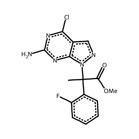 COC(=O)C(C)(c1ccccc1F)n1ncc2c(Cl)nc(N)nc21